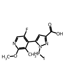 COc1ncc(F)c(-c2cc(C(=O)O)nn2PI)c1C